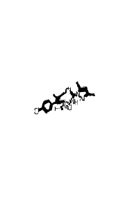 Cc1cc(C)n(C2=NC(C)C(c3ccc(Cl)cc3)=NN2)n1.Cl